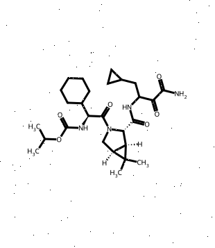 CC(C)OC(=O)N[C@H](C(=O)N1C[C@H]2[C@@H]([C@H]1C(=O)NC(CC1CC1)C(=O)C(N)=O)C2(C)C)C1CCCCC1